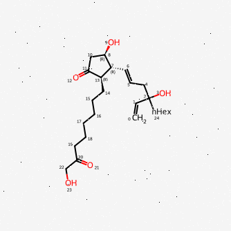 C=CC(O)(CC=C[C@H]1[C@H](O)CC(=O)[C@@H]1CCCCCCC(=O)CO)CCCCCC